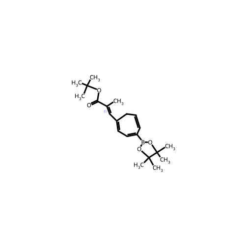 C/C(=C\C1=CC=C(B2OC(C)(C)C(C)(C)O2)C=CC1)C(=O)OC(C)(C)C